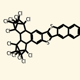 ClC1=C(Cl)C2(Cl)C3C(c4cc5sc6c7cc8ccccc8cc7sc6c5cc4C4C3C3(Cl)C(Cl)=C(Cl)C4(Cl)C3(Cl)Cl)C1(Cl)C2(Cl)Cl